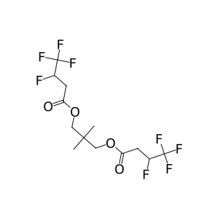 CC(C)(COC(=O)CC(F)C(F)(F)F)COC(=O)CC(F)C(F)(F)F